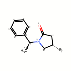 CC[C@H]1CC(=O)N([C@@H](C)c2ccccc2)C1